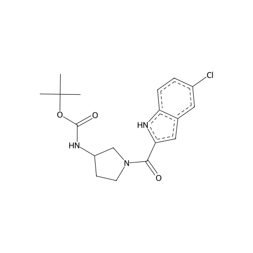 CC(C)(C)OC(=O)NC1CCN(C(=O)c2cc3cc(Cl)ccc3[nH]2)C1